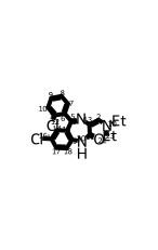 CCN(C=C1N=C(c2ccccc2Cl)c2cc(Cl)ccc2NC1=O)CC